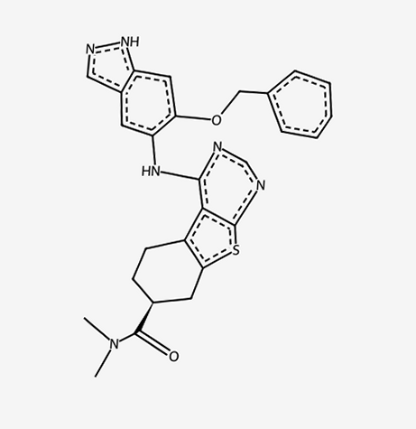 CN(C)C(=O)[C@H]1CCc2c(sc3ncnc(Nc4cc5cn[nH]c5cc4OCc4ccccc4)c23)C1